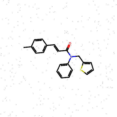 Cc1ccc(/C=C/C(=O)N(Cc2cccs2)c2ccccc2)cc1